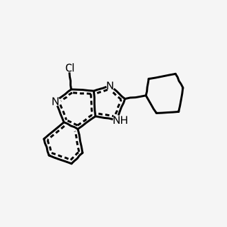 Clc1nc2ccccc2c2[nH]c(C3CCCCC3)nc12